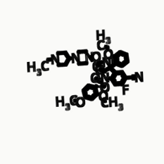 CCOc1ccccc1C1(NC(=O)ON2CCN(C3CCN(CC)CC3)CC2)C(=O)N(S(=O)(=O)c2ccc(OC)cc2OC)c2cc(F)c(C#N)cc21